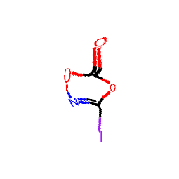 O=c1onc(I)o1